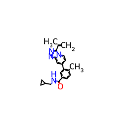 C=C(C)c1nnc2cc(-c3cc(C(=O)NCC4CC4)ccc3C)ccn12